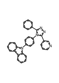 c1ccc(-c2nnc(-c3cccnc3)n2-c2ccc(-n3c4ccccc4c4ccccc43)cc2)cc1